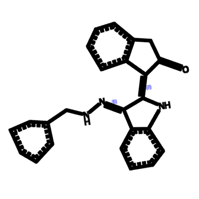 O=C1Cc2ccccc2/C1=C1/Nc2ccccc2/C1=N\NCc1ccccc1